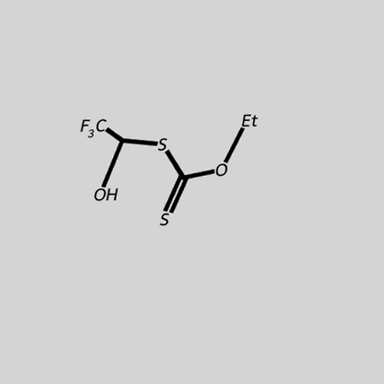 CCOC(=S)SC(O)C(F)(F)F